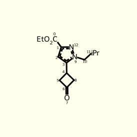 CCOC(=O)c1cc(C2CC(=O)C2)n(CC(C)C)n1